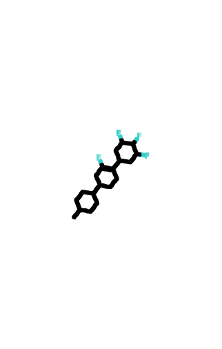 CC1CCC(C2CCC(C3CC(F)C(F)C(F)C3)=C(F)C2)CC1